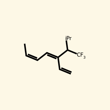 C=C/C(=C\C=C/C)C(C(C)C)C(F)(F)F